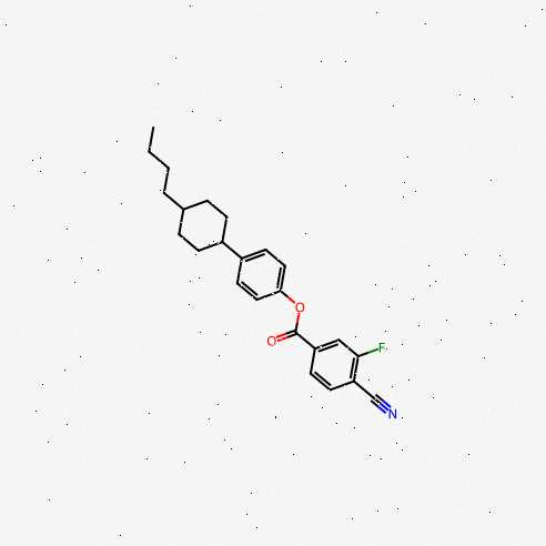 CCCCC1CCC(c2ccc(OC(=O)c3ccc(C#N)c(F)c3)cc2)CC1